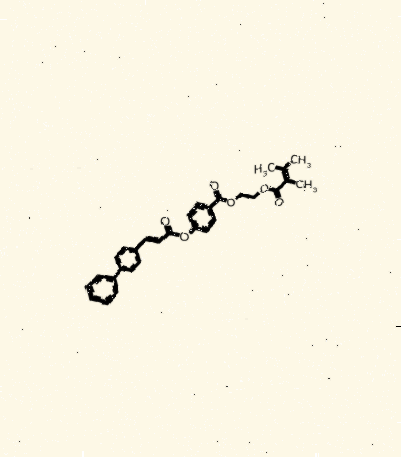 CC(C)=C(C)C(=O)OCCOC(=O)c1ccc(OC(=O)/C=C/c2ccc(-c3ccccc3)cc2)cc1